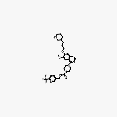 COc1cc2c(N3CCN(C(=S)NCc4ccc(C(F)(F)F)nc4)CC3)ncnc2cc1OCCCC1CCCNC1